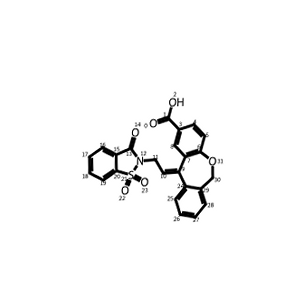 O=C(O)c1ccc2c(c1)C(=CCN1C(=O)c3ccccc3S1(=O)=O)c1ccccc1CO2